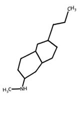 CCCC1CCC2CC(NC)CCC2C1